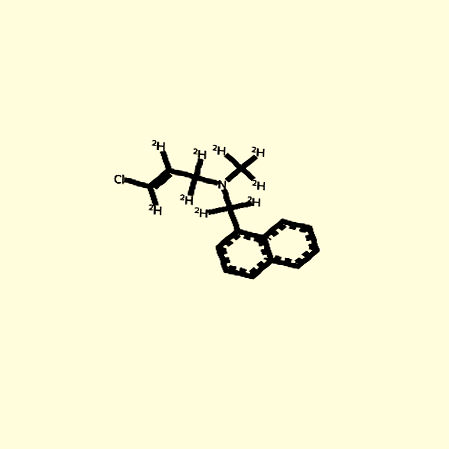 [2H]/C(Cl)=C(/[2H])C([2H])([2H])N(C([2H])([2H])[2H])C([2H])([2H])c1cccc2ccccc12